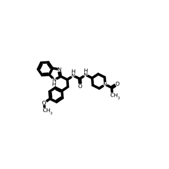 COc1ccc(CC(NC(=O)NC2CCN(C(C)=O)CC2)c2nc3ccccc3[nH]2)cc1